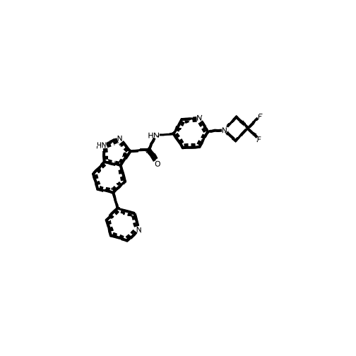 O=C(Nc1ccc(N2CC(F)(F)C2)nc1)c1n[nH]c2ccc(-c3cccnc3)cc12